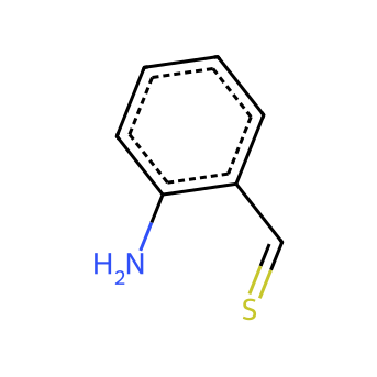 Nc1ccccc1C=S